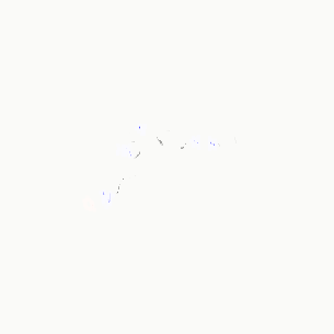 CN1CCN(c2ccc(-c3nccc4[nH]c(CCCN5CCOCC5)cc34)cc2)CC1